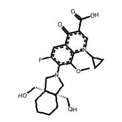 COc1c(N2C[C@]3(CO)CCCC[C@]3(CO)C2)c(F)cc2c(=O)c(C(=O)O)cn(C3CC3)c12